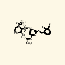 CC[C@H]1NCCN(S(N)(=O)=O)C1S(=O)(=O)Nc1cc(O[C@H](C)C(=O)O)nc(SCc2cccc(F)c2F)n1